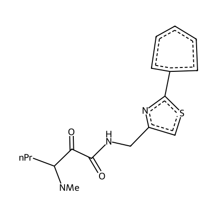 CCCC(NC)C(=O)C(=O)NCc1csc(-c2ccccc2)n1